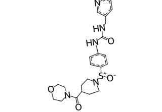 O=C(NCc1cccnc1)Nc1ccc([S+]([O-])N2CCC(C(=O)N3CCOCC3)CC2)cc1